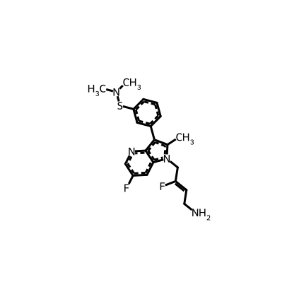 Cc1c(-c2cccc(SN(C)C)c2)c2ncc(F)cc2n1C/C(F)=C/CN